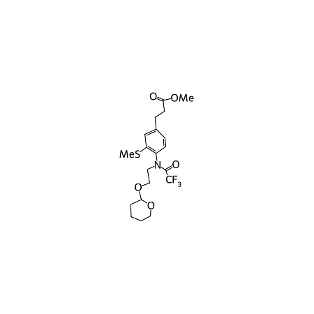 COC(=O)CCc1ccc(N(CCOC2CCCCO2)C(=O)C(F)(F)F)c(SC)c1